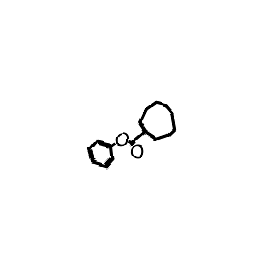 O=C(Oc1ccccc1)C1CCCCCCCC1